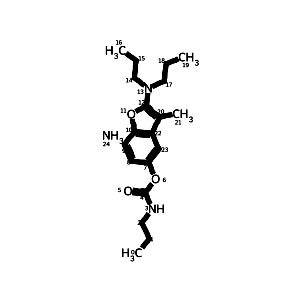 CCCNC(=O)Oc1ccc2oc(N(CCC)CCC)c(C)c2c1.N